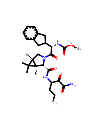 CC(C)(C)OC(=O)N[C@H](C(=O)N1C[C@H]2[C@@H]([C@H]1C(=O)NC(CCC(F)(F)F)C(=O)C(N)=O)C2(C)C)C1Cc2ccccc2C1